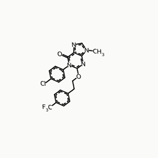 Cn1cnc2c(=O)n(-c3ccc(Cl)cc3)c(OCCc3ccc(C(F)(F)F)cc3)nc21